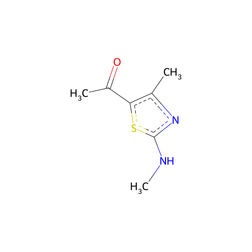 CNc1nc(C)c(C(C)=O)s1